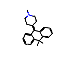 CN1CCC(=C2c3ccccc3C(C)(C)c3ccccc32)CC1